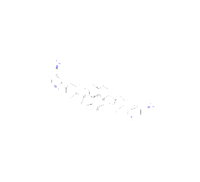 N#CC1=CCNC(c2ccc(-c3ccc4ccc5c(-c6ccc(-c7cc(C#N)ccn7)cc6)ccc6ccc3c4c65)cc2)=C1